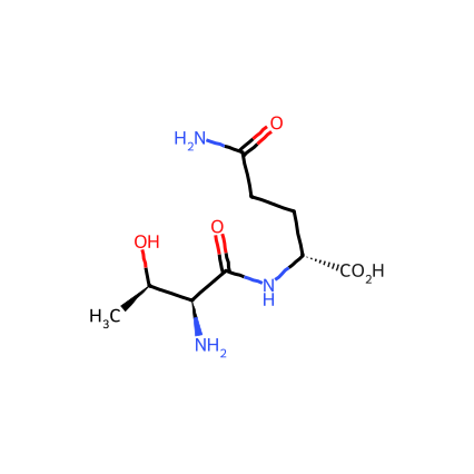 C[C@@H](O)[C@H](N)C(=O)N[C@H](CCC(N)=O)C(=O)O